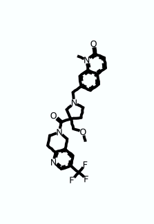 COCC1(C(=O)N2CCc3ncc(C(F)(F)F)cc3C2)CCN(Cc2ccc3ccc(=O)n(C)c3c2)C1